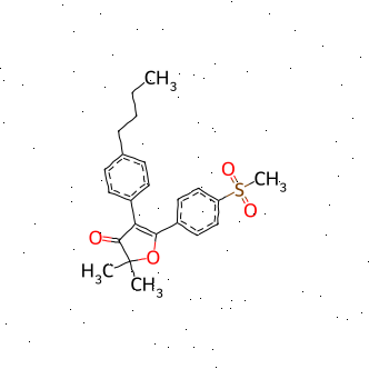 CCCCc1ccc(C2=C(c3ccc(S(C)(=O)=O)cc3)OC(C)(C)C2=O)cc1